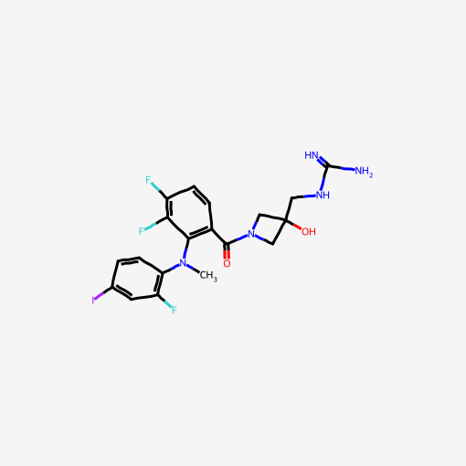 CN(c1ccc(I)cc1F)c1c(C(=O)N2CC(O)(CNC(=N)N)C2)ccc(F)c1F